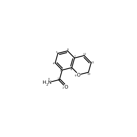 NC(=O)c1cccc2c1OCC=C2